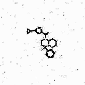 O=C(c1cc(C2CC2)n[nH]1)N1CCC(O)(c2ccccc2)C2CCCCC21